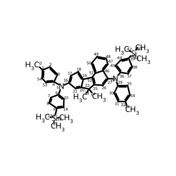 Cc1ccc(N(c2ccc([Si](C)(C)C)cc2)c2ccc3c(c2)C(C)(C)c2cc(N(c4ccc(C)cc4)c4ccc([Si](C)(C)C)cc4)c4ccccc4c2-3)cc1